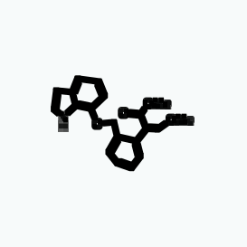 COC=C(C(=O)OC)c1ccccc1COc1cccc2cc[nH]c12